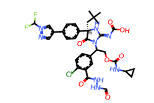 CC(C)(C)C[C@]1(c2ccc(-c3cnn(C(F)F)c3)cc2)NC(=NC(=O)O)N(C(COC(=O)NC2CC2)c2ccc(Cl)c(C(=O)NNC=O)c2)C1=O